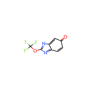 O=C1C=CC2=NC(OC(F)(F)F)=NC2=C1